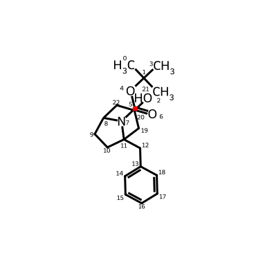 CC(C)(C)OC(=O)N1C2CCC1(Cc1ccccc1)CC(O)C2